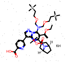 C=C(OCC)c1c(C2C[C@H]3CC[C@@H](C2)N3C(=O)OC(C)(C)C)nc2c(-c3ccc(C(=O)O)nc3)cnn2c1N(COCC[Si](C)(C)C)COCC[Si](C)(C)C.[KH]